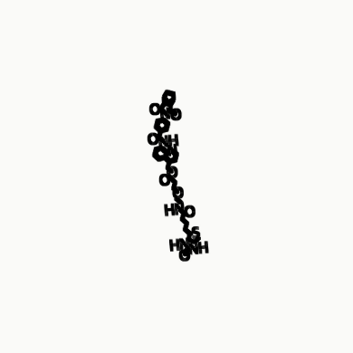 O=C(CCCC1SCC2NC(=O)NC21)NCCOCCC(=O)OCc1ccnc2c(NC(=O)c3ccc(N4C(=O)C5C6C=CC(C6)C5C4=O)cc3)cccc12